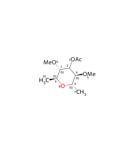 CO[C@@H]1C(OC(C)=O)[C@@H](OC)[C@H](C)O[C@H]1C